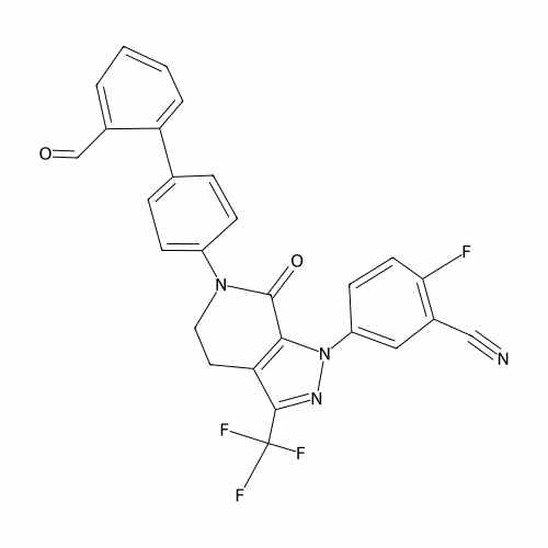 N#Cc1cc(-n2nc(C(F)(F)F)c3c2C(=O)N(c2ccc(-c4ccccc4C=O)cc2)CC3)ccc1F